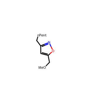 CCCCCCc1cc(COC)on1